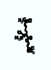 CN(Cl)CCCC[C@@H](C(=O)OCCN(C)Cl)N(C)Cl